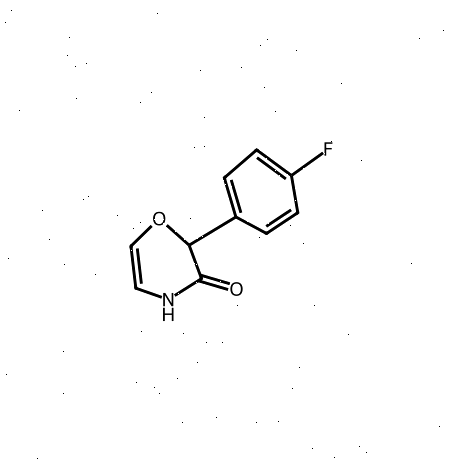 O=C1NC=COC1c1ccc(F)cc1